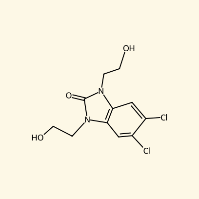 O=c1n(CCO)c2cc(Cl)c(Cl)cc2n1CCO